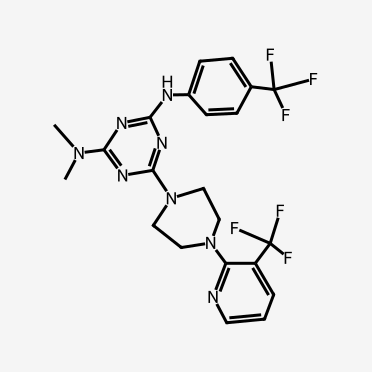 CN(C)c1nc(Nc2ccc(C(F)(F)F)cc2)nc(N2CCN(c3ncccc3C(F)(F)F)CC2)n1